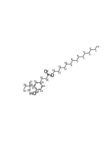 CCCCCCCCCCCCCCCOC(=O)CCc1ccc(O)c(C(C)(C)CC)c1